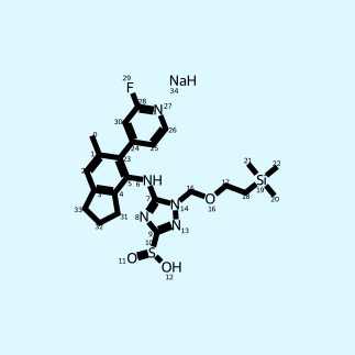 Cc1cc2c(c(Nc3nc(S(=O)O)nn3COCC[Si](C)(C)C)c1-c1ccnc(F)c1)CCC2.[NaH]